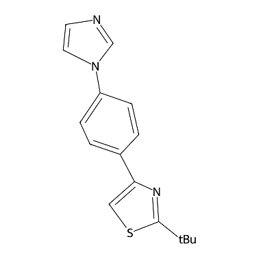 CC(C)(C)c1nc(-c2ccc(-n3ccnc3)cc2)cs1